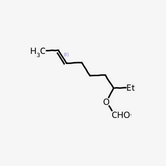 C/C=C/CCCC(CC)O[C]=O